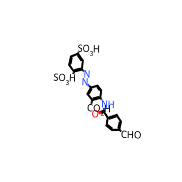 O=Cc1ccc(C(=O)Nc2ccc(/N=N/c3cc(S(=O)(=O)O)ccc3S(=O)(=O)O)cc2C(=O)O)cc1